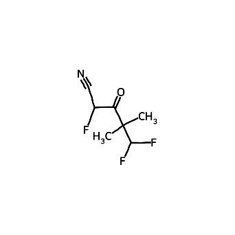 CC(C)(C(=O)C(F)C#N)C(F)F